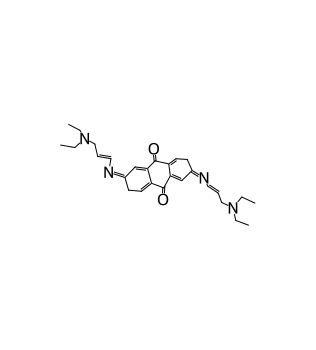 CCN(CC)CC=CN=C1C=C2C(=O)C3=CCC(=NC=CCN(CC)CC)C=C3C(=O)C2=CC1